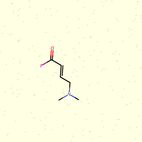 CN(C)C/C=C/C(=O)I